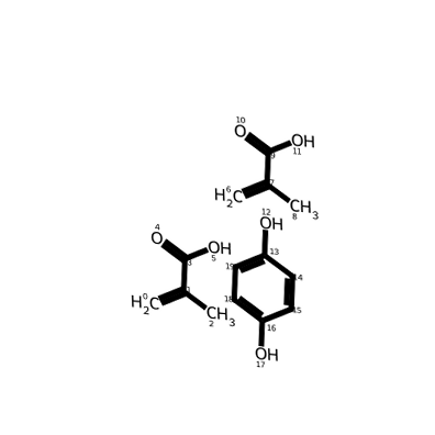 C=C(C)C(=O)O.C=C(C)C(=O)O.Oc1ccc(O)cc1